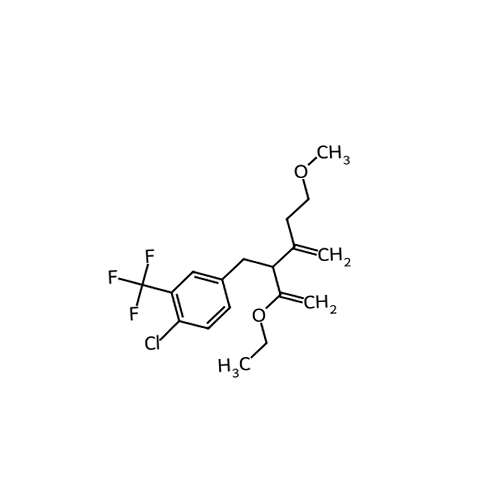 C=C(CCOC)C(Cc1ccc(Cl)c(C(F)(F)F)c1)C(=C)OCC